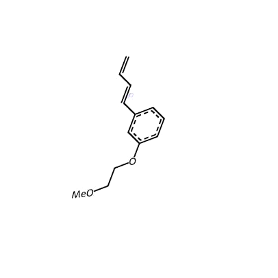 C=C/C=C/c1cccc(OCCOC)c1